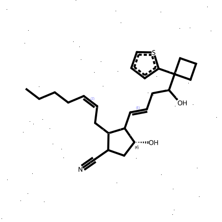 CCCC/C=C\CC1C(C#N)C[C@@H](O)C1/C=C/CC(O)C1(c2cccs2)CCC1